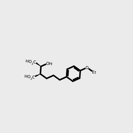 CCOc1ccc(CCC[C@@H](C(=O)O)[C@H](O)C(=O)O)cc1